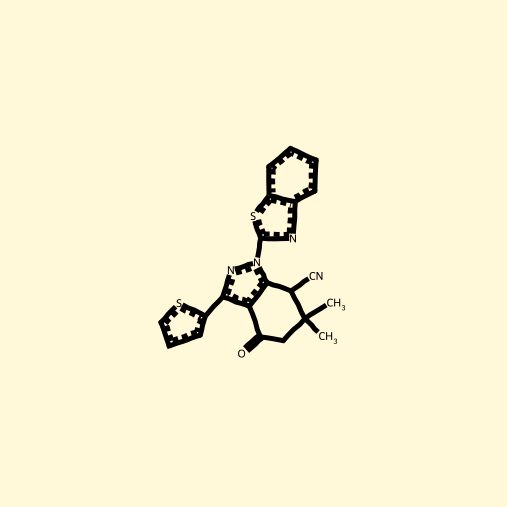 CC1(C)CC(=O)c2c(-c3cccs3)nn(-c3nc4ccccc4s3)c2C1C#N